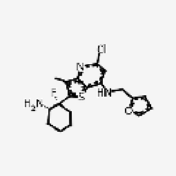 Cc1c([C@@]2(F)CCCC[C@@H]2N)sc2c(NCc3ccco3)cc(Cl)nc12